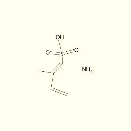 C=CC(C)=CS(=O)(=O)O.N